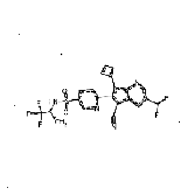 C[C@H](NS(=O)(=O)c1ccc(-c2c(C#N)c3cc(C(F)F)cnc3n2C2=CC=C2)nc1)C(F)(F)F